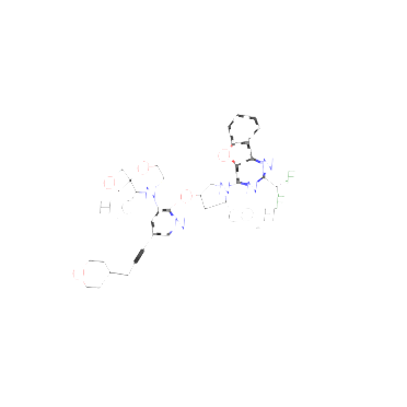 C[C@@H]1N(c2cc(C#CCC3CCOCC3)cnc2O[C@H]2C[C@@H](C(=O)O)N(c3nc(C(F)F)nc4c3oc3ccccc34)C2)CCOC12COC2